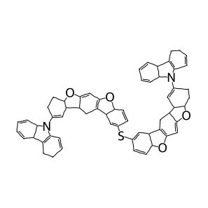 C1=CC2C3=C(C=CCC3)N(C3=CC4C(CC3)OC3=CC5=C(CC34)C3C=C(SC4=CC6C7=C(C=C8OC9CCC(N%10C%11=C(CCC=C%11)C%11C=CC=CC%11%10)=CC9C8C7)OC6C=C4)C=CC3O5)C2C=C1